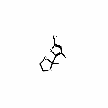 CC1(c2sc(Br)cc2F)OCCO1